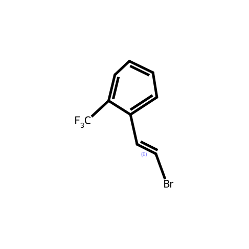 FC(F)(F)c1ccccc1/C=C/Br